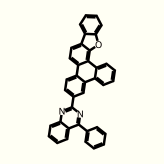 c1ccc(-c2nc(-c3ccc4c(c3)c3ccccc3c3c4ccc4c5ccccc5oc43)nc3ccccc23)cc1